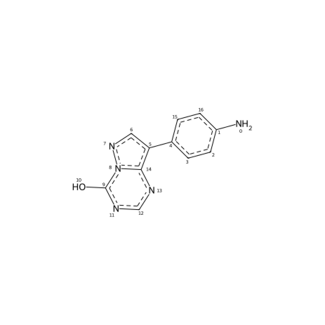 Nc1ccc(-c2cnn3c(O)ncnc23)cc1